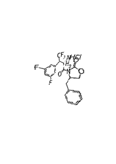 Cl.N[C@H](C(=O)N1C(=O)OCC1Cc1ccccc1)C(c1cc(F)cc(F)c1)C(F)(F)F